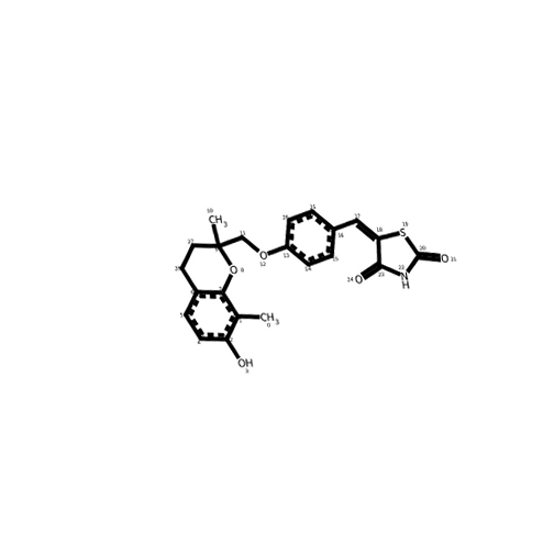 Cc1c(O)ccc2c1OC(C)(COc1ccc(C=C3SC(=O)NC3=O)cc1)CC2